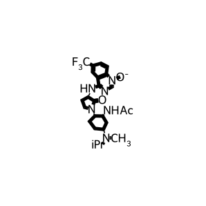 CC(=O)N[C@H]1C[C@H](N(C)C(C)C)CC[C@@H]1N1CC[C@H](Nc2nc[n+]([O-])c3ccc(C(F)(F)F)cc23)C1=O